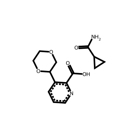 NC(=O)C1CC1.O=C(O)c1ncccc1C1COCCO1